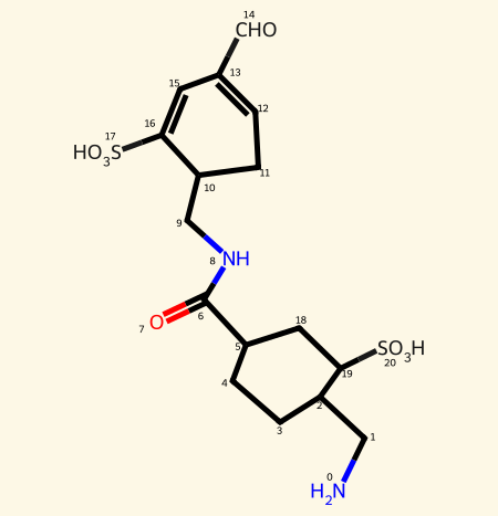 NCC1CCC(C(=O)NCC2CC=C(C=O)C=C2S(=O)(=O)O)CC1S(=O)(=O)O